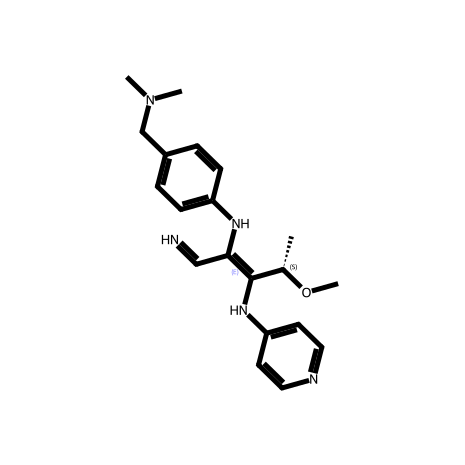 CO[C@@H](C)/C(Nc1ccncc1)=C(/C=N)Nc1ccc(CN(C)C)cc1